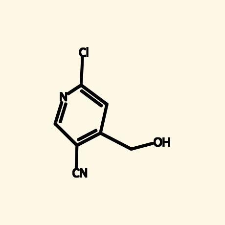 N#Cc1cnc(Cl)cc1CO